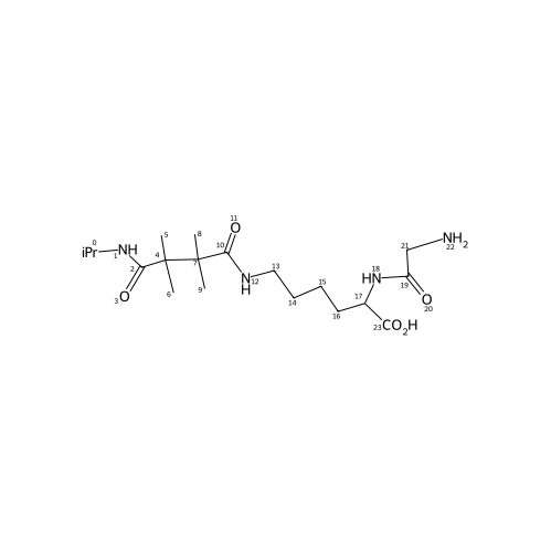 CC(C)NC(=O)C(C)(C)C(C)(C)C(=O)NCCCCC(NC(=O)CN)C(=O)O